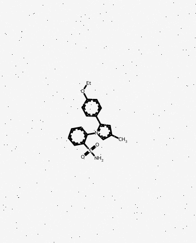 CCOc1ccc(-c2cc(C)cn2-c2ccccc2S(N)(=O)=O)cc1